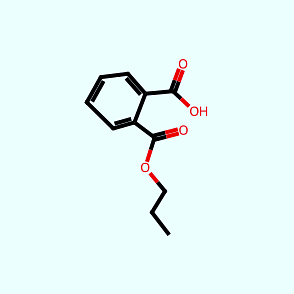 CCCOC(=O)c1ccccc1C(=O)O